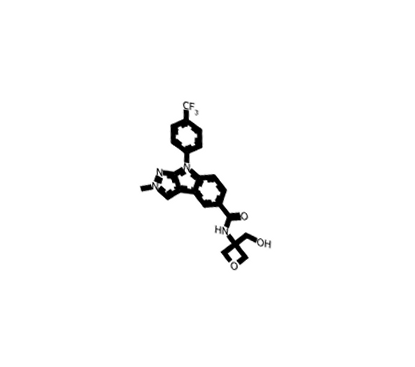 Cn1cc2c3cc(C(=O)NC4(CO)COC4)ccc3n(-c3ccc(C(F)(F)F)cc3)c2n1